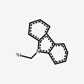 [3H]Cn1c2ccccc2c2ccccc21